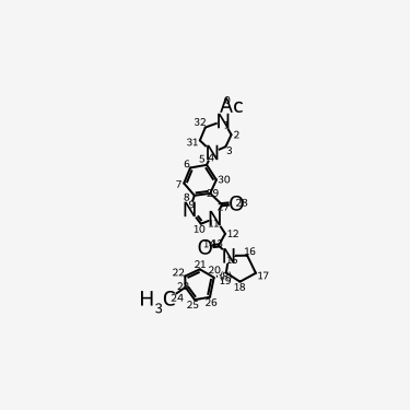 CC(=O)N1CCN(c2ccc3ncn(CC(=O)N4CCC[C@@H]4c4ccc(C)cc4)c(=O)c3c2)CC1